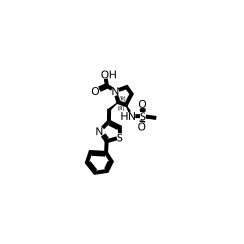 CS(=O)(=O)N[C@@H]1CCN(C(=O)O)[C@@H]1Cc1csc(-c2ccccc2)n1